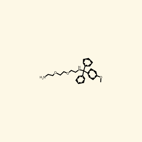 COc1ccc(C(NCCOCCOCCN)(c2ccccc2)c2ccccc2)cc1